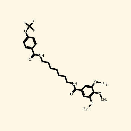 COc1cc(C(=O)NCCCCCCCNC(=O)c2ccc(OC(F)(F)F)cc2)cc(OC)c1OC